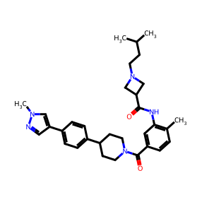 Cc1ccc(C(=O)N2CCC(c3ccc(-c4cnn(C)c4)cc3)CC2)cc1NC(=O)C1CN(CCC(C)C)C1